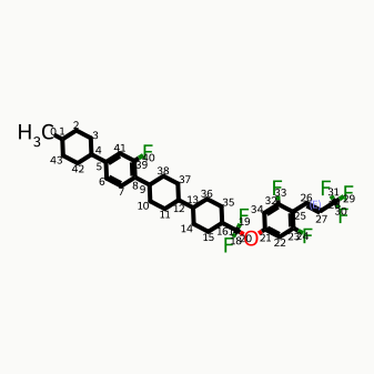 CC1CCC(c2ccc(C3CCC(C4CCC(C(F)(F)Oc5cc(F)c(/C=C/C(F)(F)F)c(F)c5)CC4)CC3)c(F)c2)CC1